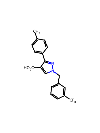 Cc1ccc(-c2nn(Cc3cccc(C(F)(F)F)c3)cc2C(=O)O)cc1